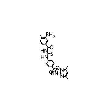 Bc1cc(C(=O)NC(=S)Nc2ccc(S(=O)(=O)Nc3nc(C)cc(C)n3)cc2)ccc1C